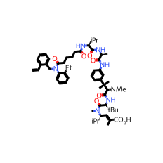 C=Cc1ccccc1CN(C(=O)CCCCC(=O)N[C@H](C(=O)N[C@@H](C)C(=O)Nc1cccc(C(C)(C)C(NC)C(=O)N[C@H](C(=O)N(C)[C@H](/C=C(\C)C(=O)O)C(C)C)C(C)(C)C)c1)C(C)C)c1ccccc1CC